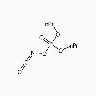 CCCOP(=O)(OCCC)ON=C=O